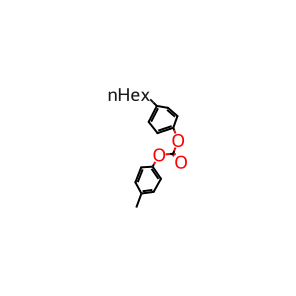 CCCCCCc1ccc(OC(=O)Oc2ccc(C)cc2)cc1